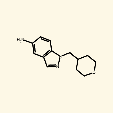 Nc1ccc2c(cnn2CC2CCOCC2)c1